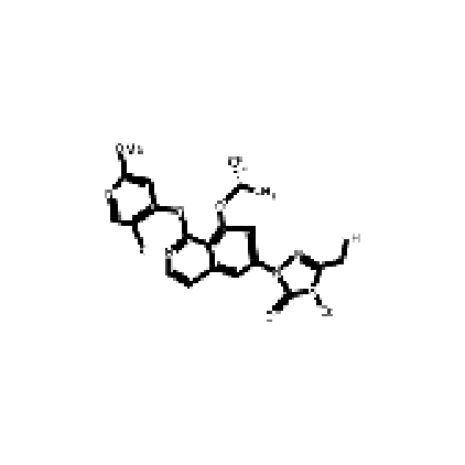 CCn1c(CO)nn(-c2cc(O[C@@H](C)C(F)(F)F)c3c(Oc4cc(OC)ncc4Cl)nccc3c2)c1=O